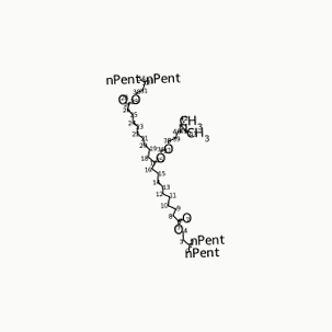 CCCCCC(CCCCC)CCOC(=O)CCCCCCCCCC(CCCCCCCCCC(=O)OCCC(CCCCC)CCCCC)OCOCCCN(C)C